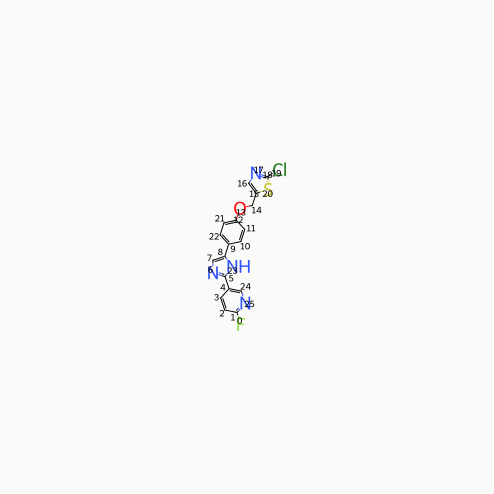 Fc1ccc(-c2ncc(-c3ccc(OCc4cnc(Cl)s4)cc3)[nH]2)cn1